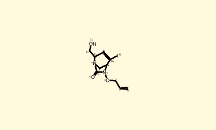 C=CCON1C(=O)N2CC1C(I)=CC2CO